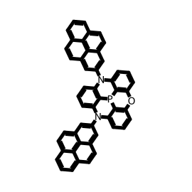 c1cc2c3c(c1)N(c1cc4ccc5cccc6ccc(c1)c4c56)c1cccc4c1P3c1c(cccc1N4c1cc3ccc4cccc5ccc(c1)c3c45)O2